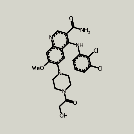 COc1cc2ncc(C(N)=O)c(Nc3cccc(Cl)c3Cl)c2cc1N1CCN(C(=O)CO)CC1